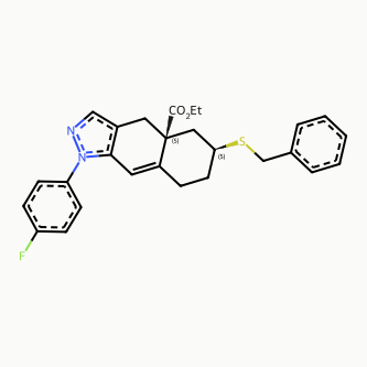 CCOC(=O)[C@]12Cc3cnn(-c4ccc(F)cc4)c3C=C1CC[C@H](SCc1ccccc1)C2